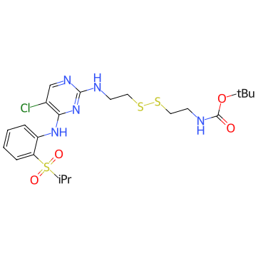 CC(C)S(=O)(=O)c1ccccc1Nc1nc(NCCSSCCNC(=O)OC(C)(C)C)ncc1Cl